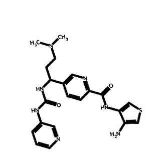 CN(C)CCC(NC(=O)Nc1cccnc1)c1ccc(C(=O)Nc2cscc2N)nc1